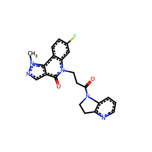 Cn1ncc2c(=O)n(CCC(=O)N3CCc4ncccc43)c3cc(F)ccc3c21